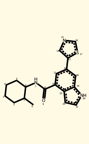 CC1CCCCC1NC(=O)c1cc(-c2cncs2)cc2[nH]ccc12